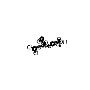 CCOC(Cc1ccc(OCCN(CCOCc2cc(Cl)cc(Cl)c2)C(=O)Oc2ccccc2OC)cc1)C(=O)O